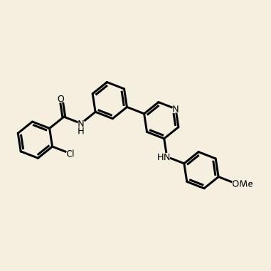 COc1ccc(Nc2cncc(-c3cccc(NC(=O)c4ccccc4Cl)c3)c2)cc1